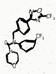 O=C(N1CCOCC1)N(Cc1ccc(-c2noc(C(F)(F)F)n2)cc1)c1cccc(C(F)(F)F)c1